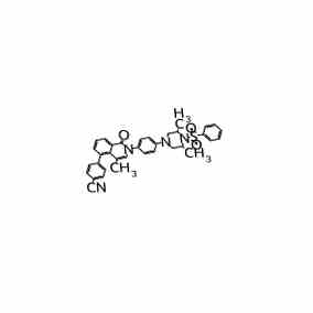 Cc1cn(-c2ccc(N3CC(C)N(S(=O)(=O)c4ccccc4)C(C)C3)cc2)c(=O)c2cccc(-c3ccc(C#N)cc3)c12